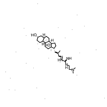 CC(/C=N/NC(=N)NCCN(C)C)=C\[C@H]1CC[C@]2(O)[C@@H]3CC[C@@H]4C[C@@H](O)CC[C@]4(C)[C@H]3CC[C@]12C